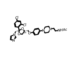 CC(=O)NCCN1CCN(c2ccc(OC[C@@H]3CO[C@@](Cn4ccnc4)(c4ccc(Cl)cc4Cl)O3)cc2)CC1